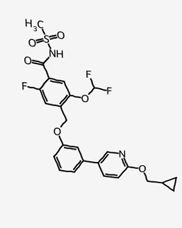 CS(=O)(=O)NC(=O)c1cc(OC(F)F)c(COc2cccc(-c3ccc(OCC4CC4)nc3)c2)cc1F